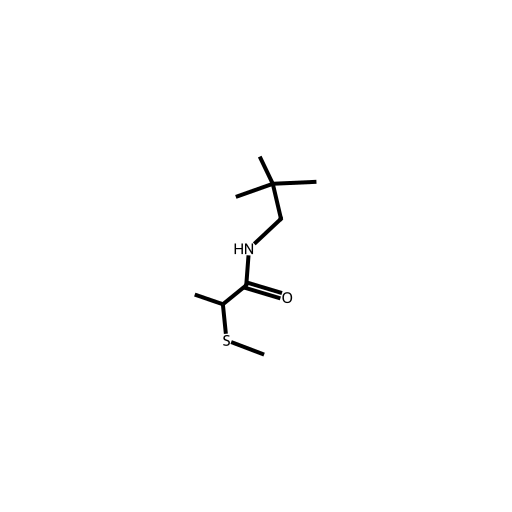 CSC(C)C(=O)NCC(C)(C)C